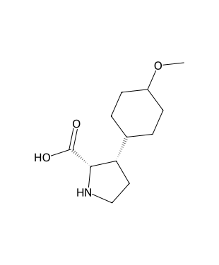 COC1CCC([C@@H]2CCN[C@@H]2C(=O)O)CC1